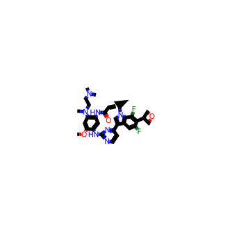 C=CC(=O)Nc1cc(Nc2nccc(-c3cn(C4CC4)c4c(F)c(C5COC5)c(F)cc34)n2)c(OC)cc1N(C)CCN(C)C